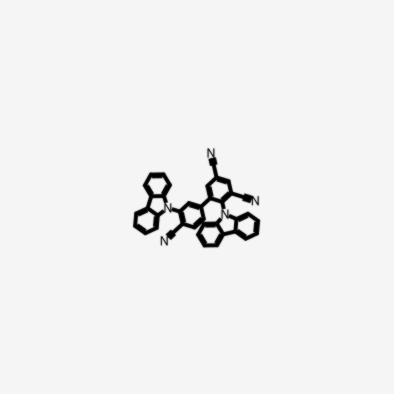 N#Cc1cc(C#N)c(-n2c3ccccc3c3ccccc32)c(-c2ccc(C#N)c(-n3c4ccccc4c4ccccc43)c2)c1